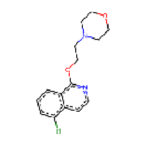 Clc1cccc2c(OCCN3CCOCC3)nccc12